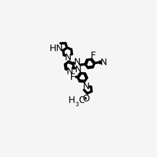 CO[C@H]1CCN(c2ccc(-n3c(-c4ccc(C#N)c(F)c4)nc4c(N5CCC6CCNC6C5)ccnc43)c(F)c2)C1